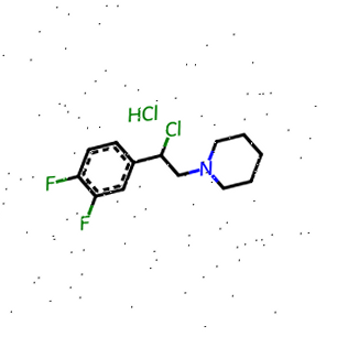 Cl.Fc1ccc(C(Cl)CN2CCCCC2)cc1F